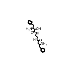 NC(CC(=O)NCCNC(=O)C(O)C(N)Cc1ccccc1)Cc1ccccc1